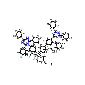 CC1CC2CC(C)C3(c4ccc(-c5ccc(-c6nc(-c7ccccc7)nc(-c7ccccc7)n6)c6c5C(C)(C)c5ccccc5-6)cc4-c4ccc(-c5cc(F)ccc5-c5nc(-c6ccccc6)nc(-c6ccccc6)n5)cc43)C(C1)C2